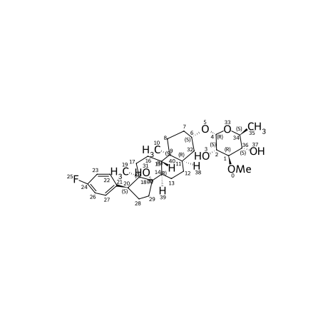 CO[C@H]1[C@H](O)[C@H](O[C@H]2CC[C@@]3(C)[C@H](CC[C@@H]4[C@@H]3CC[C@]3(C)[C@H](c5ccc(F)cc5)CC[C@]43O)C2)O[C@@H](C)[C@@H]1O